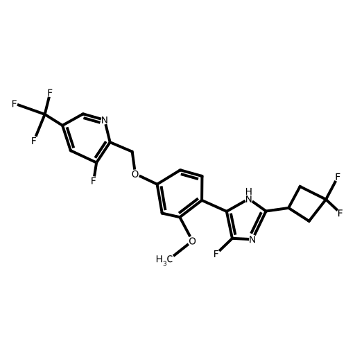 COc1cc(OCc2ncc(C(F)(F)F)cc2F)ccc1-c1[nH]c(C2CC(F)(F)C2)nc1F